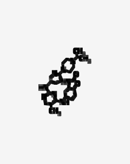 Cc1cnc(Nc2ccc(N3CCN(C(C)C)CC3)nc2)nc1Nc1ccc2oc(=O)[nH]c2c1